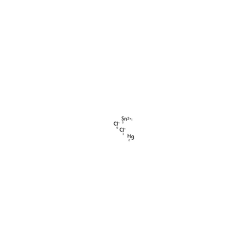 [Cl-].[Cl-].[Hg].[Sn+2]